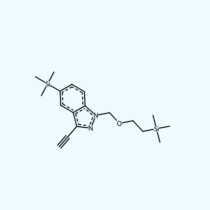 C#Cc1nn(COCC[Si](C)(C)C)c2ccc([Si](C)(C)C)cc12